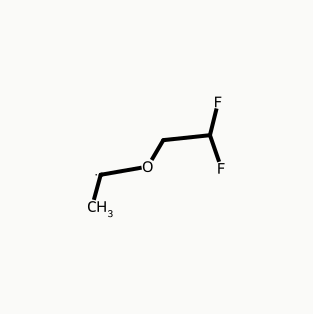 C[CH]OCC(F)F